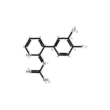 N=C(N)/N=c1\[nH]cccc1-c1ccc(F)c(C(F)(F)F)c1